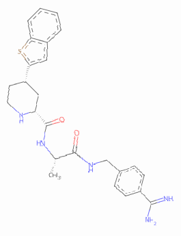 C[C@H](NC(=O)[C@H]1C[C@@H](c2cc3ccccc3s2)CCN1)C(=O)NCc1ccc(C(=N)N)cc1